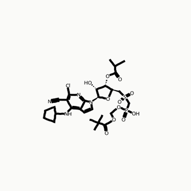 CC(C)C(=O)O[C@H]1[C@@H](O)[C@H](n2ccc3c(NC4CCCC4)c(C#N)c(Cl)nc32)O[C@@H]1CS(=O)(=O)CP(=O)(O)OCOC(=O)C(C)(C)C